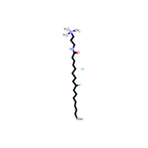 CCCCCCCCCCCCCCCCCC(F)CCCCCCCC(=O)NCCC[N+](C)(C)C.[Cl-]